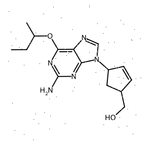 CCC(C)Oc1nc(N)nc2c1ncn2C1C=CC(CO)C1